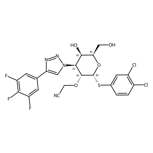 N#CCO[C@@H]1[C@@H](n2cc(-c3cc(F)c(F)c(F)c3)nn2)[C@@H](O)[C@@H](CO)O[C@@H]1Sc1ccc(Cl)c(Cl)c1